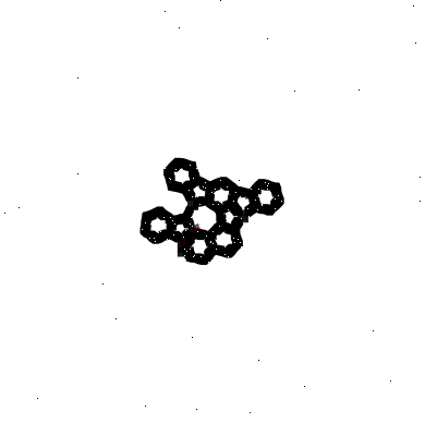 c1ccc2c(c1)ccc1c2c2c3c(cc4c5ccccc5n1c42)c1ccccc1n3-c1n[nH]c2ccccc12